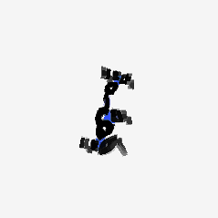 CN(C)c1ccc(/C=C/c2ccc3cc(N(C)C)ccc3[n+]2C)cc1